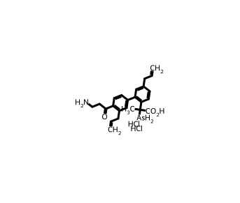 C=CCc1ccc(C(C)([AsH2])C(=O)O)c(-c2ccc(C(=O)CCN)c(CC=C)c2)c1.Cl.Cl